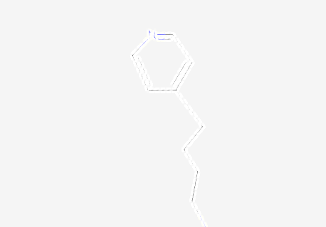 NCCCCc1ccncc1